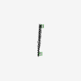 CCC(Cl)CCCCCCC=CCCCCCCCCCCCCCCCCCC(C)Cl